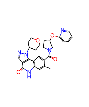 Cc1cc2[nH]c(=O)c3cnn(C4CCOCC4)c3c2cc1C(=O)N1CCC(Oc2ccccn2)C1